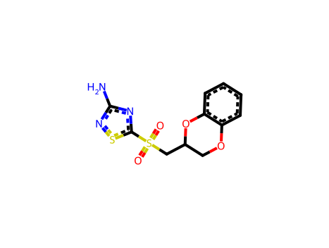 Nc1nsc(S(=O)(=O)CC2COc3ccccc3O2)n1